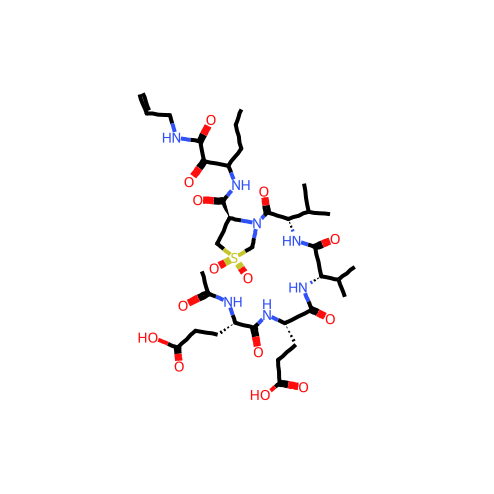 C=CCNC(=O)C(=O)C(CCC)NC(=O)[C@@H]1CS(=O)(=O)CN1C(=O)[C@@H](NC(=O)[C@@H](NC(=O)[C@H](CCC(=O)O)NC(=O)[C@H](CCC(=O)O)NC(C)=O)C(C)C)C(C)C